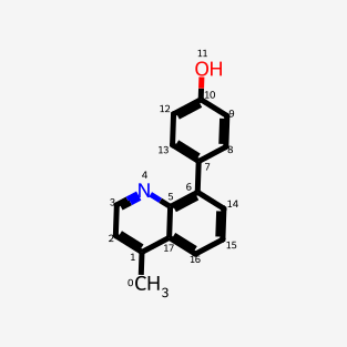 Cc1ccnc2c(-c3ccc(O)cc3)cccc12